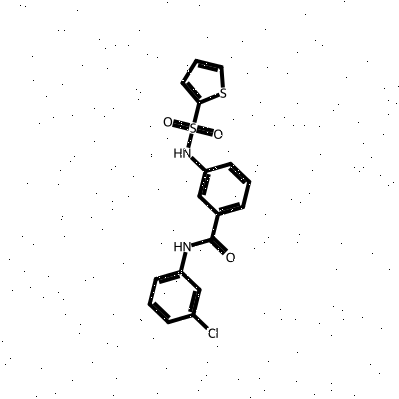 O=C(Nc1cccc(Cl)c1)c1cccc(NS(=O)(=O)c2cccs2)c1